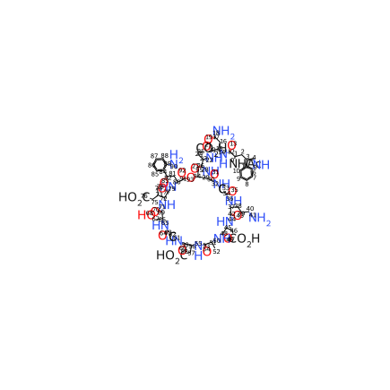 CC(=O)N[C@H](Cc1c[nH]c2ccccc12)C(=O)NC(CC(N)=O)C(=O)NC(CC(=O)O)C(=O)NC1C(=O)NCC(=O)NC(CCCN)C(=O)NC(CC(=O)O)C(=O)NC(C)C(=O)NC(CC(=O)O)C(=O)NCC(=O)NC(CO)C(=O)NC(C(C)CC(=O)O)C(=O)NC(CC(=O)c2ccccc2N)C(=O)OC1C